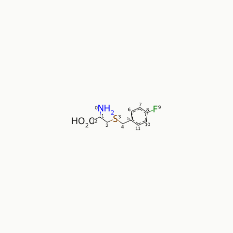 NC(CSCc1ccc(F)cc1)C(=O)O